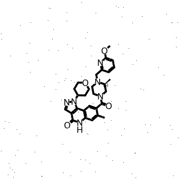 COc1cccc(CN2CCN(C(=O)c3cc4c(cc3C)[nH]c(=O)c3cnn(C5CCOCC5)c34)C[C@@H]2C)n1